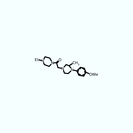 CCN1CCN(C(=O)CN2CCN(c3ccc(OC)cc3)C(C)C2)CC1